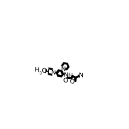 CN1CCN(c2ccc(NC(=O)c3cc(C#N)co3)c(N3CCCCC3)c2)CC1